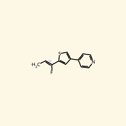 [CH2]/C=C(\F)c1cc(-c2ccncc2)cs1